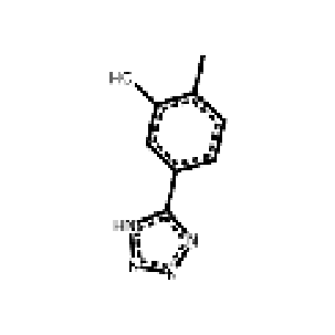 Cc1ccc(-c2nnn[nH]2)cc1O